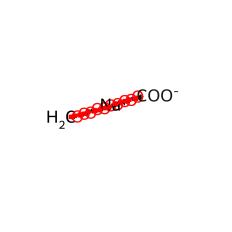 C=CCOCCOCCOCCOCCOCCOCCOCCOCCOCCOCC(=O)[O-].[Na+]